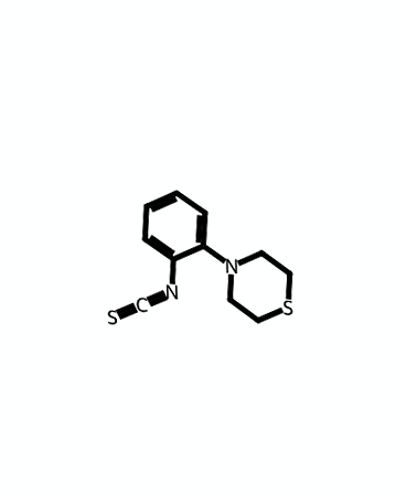 S=C=Nc1ccccc1N1CCSCC1